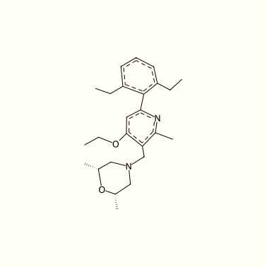 CCOc1cc(-c2c(CC)cccc2CC)nc(C)c1CN1C[C@@H](C)O[C@@H](C)C1